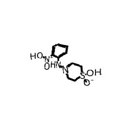 O=[N+](O)c1c[c]ccc1NN1CCS([O-])(O)CC1